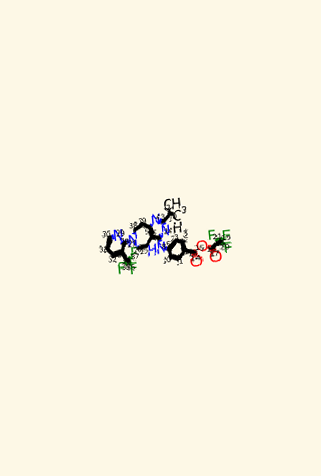 CC(C)c1nc2c(c(Nc3ccc(C(=O)OC(=O)C(F)(F)F)cc3)n1)CCN(c1ncccc1C(F)(F)F)CC2